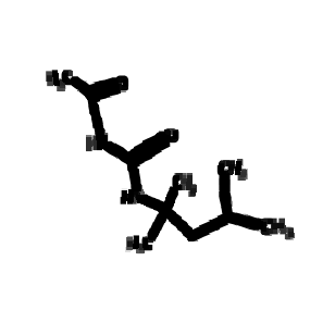 CC(=O)NC(=O)NC(C)(C)CC(C)C